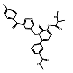 CNC(=O)c1cccc(-c2ccc(NC(=O)C(C)NC)c(=O)n2Cc2cncc(C(=O)c3ccc(F)cc3)c2)c1